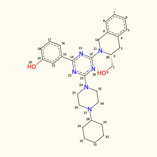 OC[C@H]1Cc2ccccc2CN1c1nc(-c2cccc(O)c2)nc(N2CCN(C3CCCCC3)CC2)n1